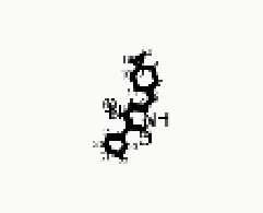 O=Nc1cc(CC2CCC3(CC2)CC3)[nH]c(=O)c1-c1ccccc1